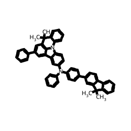 CC1(C)c2ccccc2-c2ccc(-c3ccc(N(c4ccccc4)c4ccc5c(c4)c4cc(-c6ccccc6)cc6c4n5-c4ccccc4C6(C)C)cc3)cc21